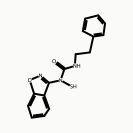 O=C(NCCc1ccccc1)N(S)c1noc2ccccc12